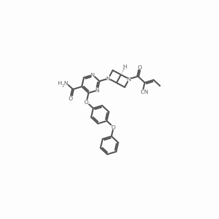 C/C=C(\C#N)C(=O)N1CC2[C@H]1CN2c1ncc(C(N)=O)c(Oc2ccc(Oc3ccccc3)cc2)n1